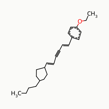 CCCCC1CCC(C=CC#CC=Cc2ccc(OCC)cc2)CC1